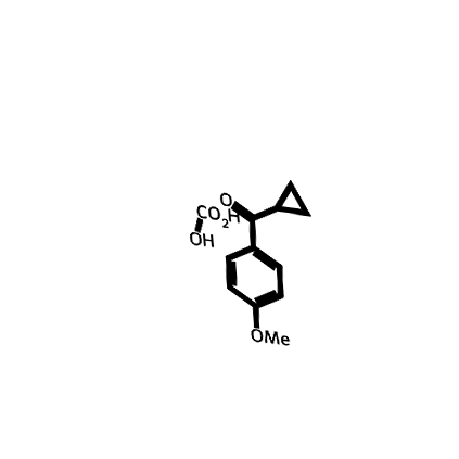 COc1ccc(C(=O)C2CC2)cc1.O=C(O)O